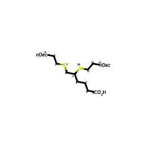 CCCCCCCCCCCCSCC(CCCC(=O)O)SCCCCCCCCCCCC